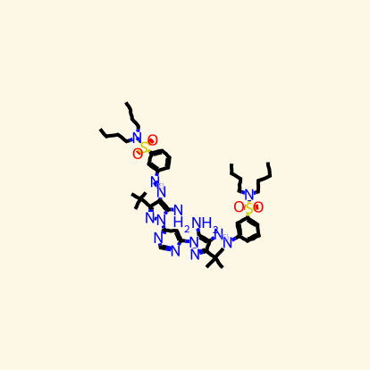 CCCCN(CCCC)S(=O)(=O)c1cccc(/N=N/c2c(C(C)(C)C)nn(-c3cc(-n4nc(C(C)(C)C)c(/N=N/c5cccc(S(=O)(=O)N(CCCC)CCCC)c5)c4N)ncn3)c2N)c1